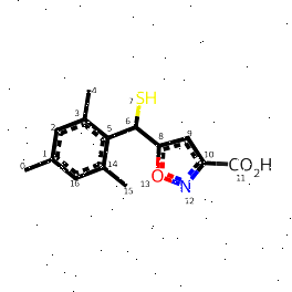 Cc1cc(C)c(C(S)c2cc(C(=O)O)no2)c(C)c1